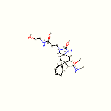 CO[C@@H](CC1(c2ccccc2)CCC2(CC1)CN(CCC(=O)NCCO)C(=O)N2)N(C)C